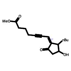 CCCCC1/C(=C/C#CCCCC(=O)OC)C(=O)CC1O